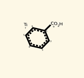 O=C(O)c1ccccc1.[Ti]